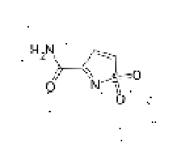 NC(=O)C1=NS(=O)(=O)C=C1